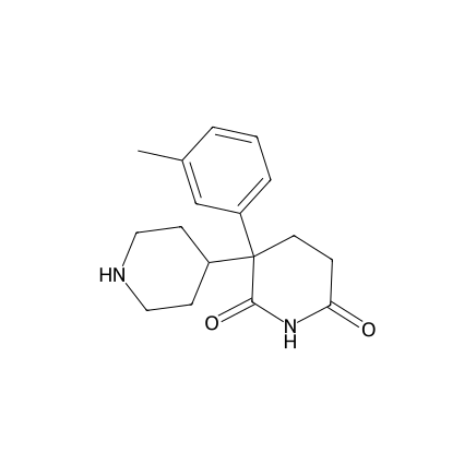 Cc1cccc(C2(C3CCNCC3)CCC(=O)NC2=O)c1